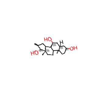 C=C1CC2C3C(CC[C@]2(C)[C@@H]1O)[C@@]1(C)CC[C@H](O)C[C@H]1C[C@@H]3O